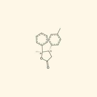 Cc1ccc([C@@H]2CC(=O)O[C@@]2(C)c2ccccc2)cc1